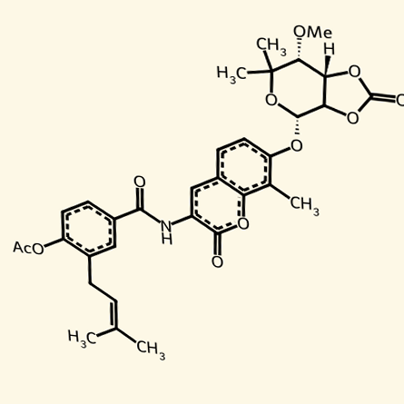 CO[C@@H]1[C@@H]2OC(=O)OC2[C@H](Oc2ccc3cc(NC(=O)c4ccc(OC(C)=O)c(CC=C(C)C)c4)c(=O)oc3c2C)OC1(C)C